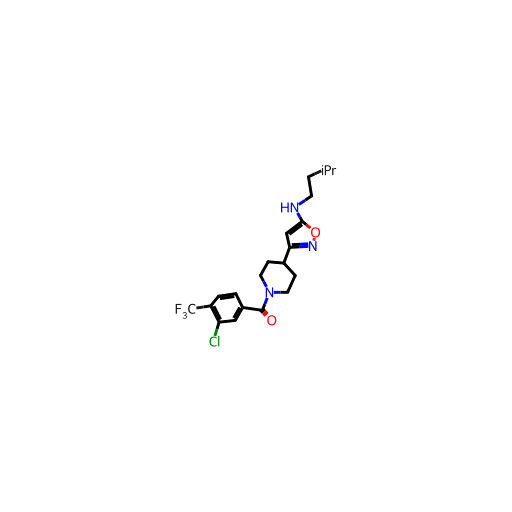 CC(C)CCNc1cc(C2CCN(C(=O)c3ccc(C(F)(F)F)c(Cl)c3)CC2)no1